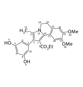 CCOC(=O)c1c(-c2cc(O)cc(O)c2)c(C)n2c1-c1cc(OC)c(OC)cc1CC2